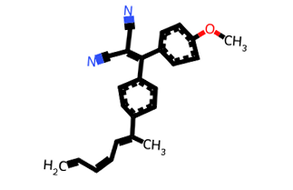 C=C/C=C\C=C(/C)c1ccc(C(=C(C#N)C#N)c2ccc(OC)cc2)cc1